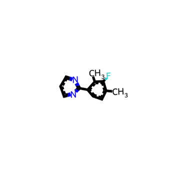 Cc1ccc(-c2ncccn2)c(C)c1F